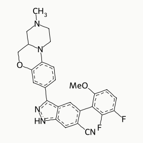 COc1ccc(F)c(F)c1-c1cc2c(-c3ccc4c(c3)OCC3CN(C)CCN43)n[nH]c2cc1C#N